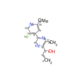 C=CC(O)c1ncc(-c2cc(OC)ncc2F)nc1C